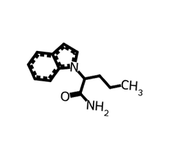 CCCC(C(N)=O)n1ccc2ccccc21